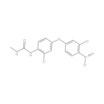 CNC(=O)Nc1ccc(Oc2ccc([N+](=O)[O-])c(Cl)c2)cc1Cl